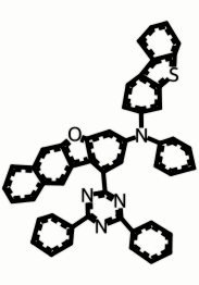 c1ccc(-c2nc(-c3ccccc3)nc(-c3cc(N(c4ccccc4)c4ccc5c(c4)sc4ccccc45)cc4oc5cc6ccccc6cc5c34)n2)cc1